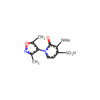 CNc1c(S(=O)(=O)O)ccn(-c2c(C)noc2C)c1=O